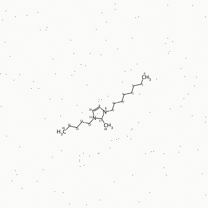 CCCCCCCCN1C=CN(CCCCC)C1C